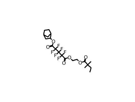 CCC(C)(C)C(=O)OCCOC(=O)C(F)(F)C(F)(F)C(F)(F)C(=O)OC1CC2CCC1C2